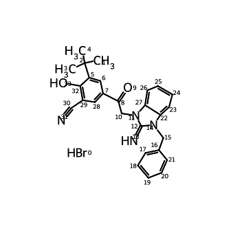 Br.CC(C)(C)c1cc(C(=O)Cn2c(=N)n(Cc3ccccc3)c3ccccc32)cc(C#N)c1O